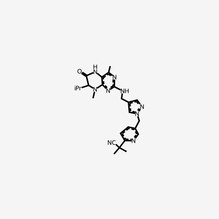 Cc1nc(NCc2cnn(Cc3ccc(C(C)(C)C#N)nc3)c2)nc2c1NC(=O)C(C(C)C)N2C